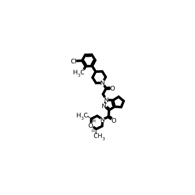 Cc1c(Cl)cccc1C1CCN(C(=O)Cn2nc(C(=O)N3C[C@@H](C)O[C@@H](C)C3)c3c2CCC3)CC1